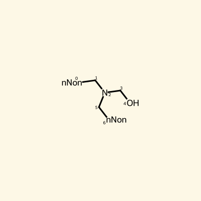 CCCCCCCCCCN(CO)CCCCCCCCCC